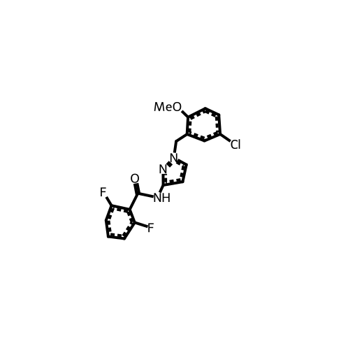 COc1ccc(Cl)cc1Cn1ccc(NC(=O)c2c(F)cccc2F)n1